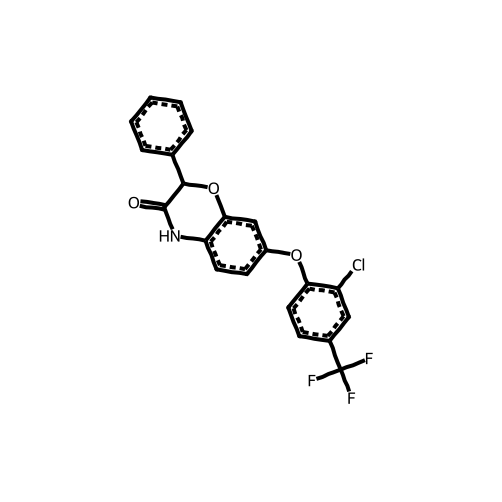 O=C1Nc2ccc(Oc3ccc(C(F)(F)F)cc3Cl)cc2OC1c1ccccc1